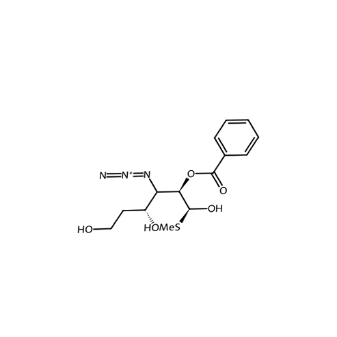 CS[C@H](O)[C@H](OC(=O)c1ccccc1)C(N=[N+]=[N-])[C@H](O)CCO